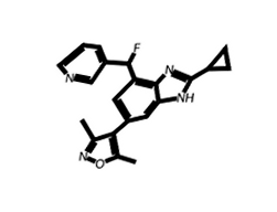 Cc1noc(C)c1-c1cc(C(F)c2cccnc2)c2nc(C3CC3)[nH]c2c1